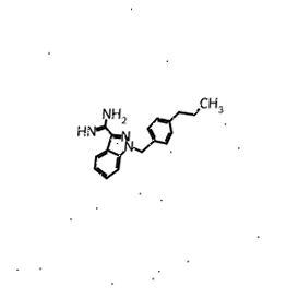 CCCc1ccc(Cn2nc(C(=N)N)c3ccccc32)cc1